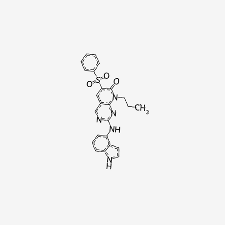 CCCn1c(=O)c(S(=O)(=O)c2ccccc2)cc2cnc(Nc3cccc4[nH]ccc34)nc21